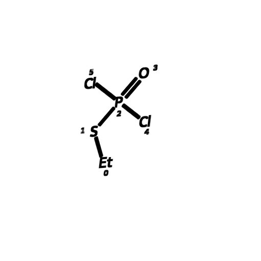 CCSP(=O)(Cl)Cl